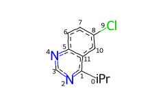 CC(C)c1ncnc2ccc(Cl)cc12